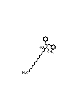 CCCCCCCCCCCCCC[C@@H](O)[C@H](CC)N(Cc1ccccc1)Cc1ccccc1